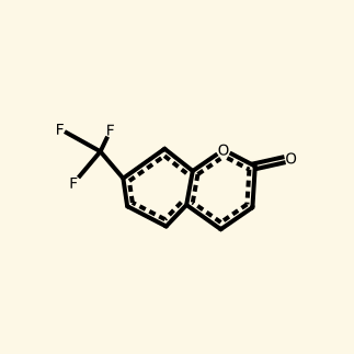 O=c1ccc2ccc(C(F)(F)F)cc2o1